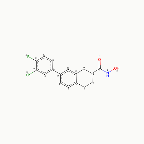 O=C(NO)C1CCc2ccc(-c3ccc(F)c(Cl)c3)cc2C1